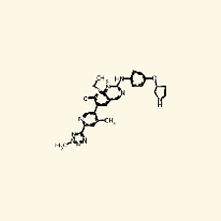 CCn1c(=O)c(-c2cnc(-c3nnn(C)n3)cc2C)cc2cnc(Nc3ccc(OC4CCNC4)cc3)nc21